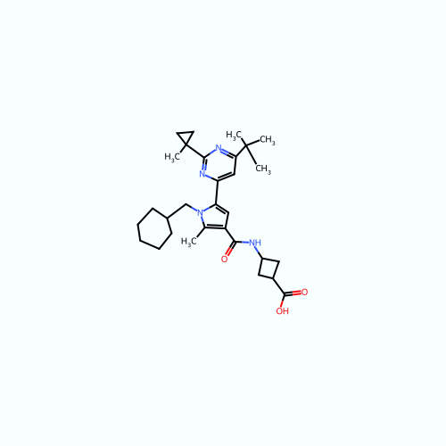 Cc1c(C(=O)NC2CC(C(=O)O)C2)cc(-c2cc(C(C)(C)C)nc(C3(C)CC3)n2)n1CC1CCCCC1